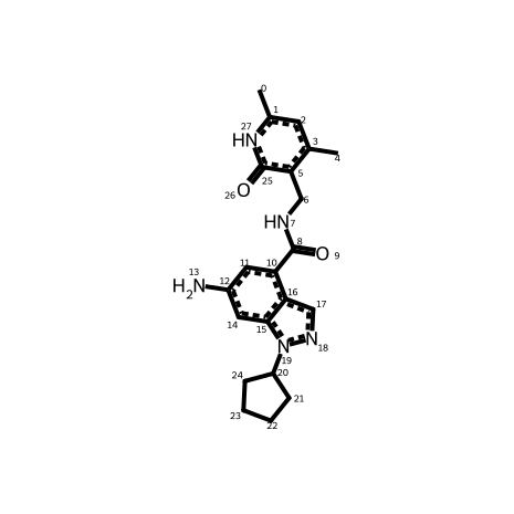 Cc1cc(C)c(CNC(=O)c2cc(N)cc3c2cnn3C2CCCC2)c(=O)[nH]1